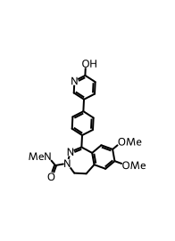 CNC(=O)N1CCc2cc(OC)c(OC)cc2C(c2ccc(-c3ccc(O)nc3)cc2)=N1